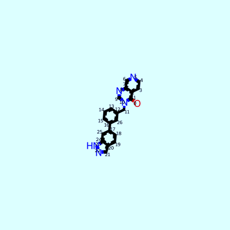 O=c1c2ccncc2ncn1Cc1cccc(-c2ccc3cn[nH]c3c2)c1